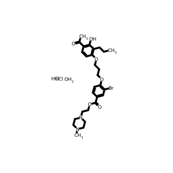 CCCc1c(OCCCOc2ccc(C(=O)OCCN3CCN(C)CC3)cc2Br)ccc(C(C)=O)c1O.Cl.Cl.O